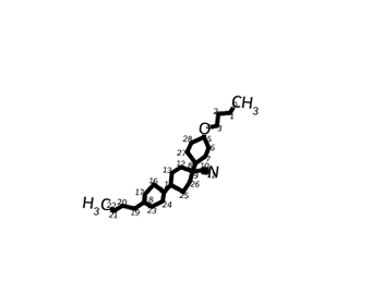 CCCCOC1CCC(C2(C#N)CCC(C3CCC(CCCC)CC3)CC2)CC1